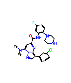 CCN(CC)c1cc(C(=O)Nc2cc(F)ccc2N2CCNCC2)nc2c(-c3cccc(Cl)c3)cnn12